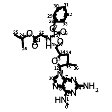 CNc1nc(N)nc2c1ncn2C1OC(COP(=O)(NCC(=O)OC(C)C)Oc2ccccc2)CC1C